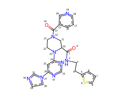 O=C(NCCc1cccs1)C1CN(C(=O)c2cccnc2)CCN1c1cc(-n2ccnc2)ncn1